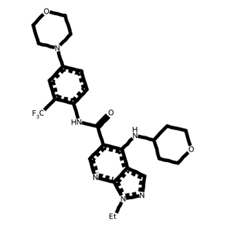 CCn1ncc2c(NC3CCOCC3)c(C(=O)Nc3ccc(N4CCOCC4)cc3C(F)(F)F)cnc21